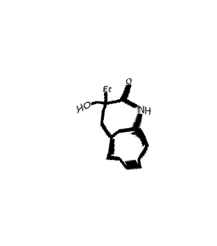 CCC1(O)Cc2ccccc2NC1=O